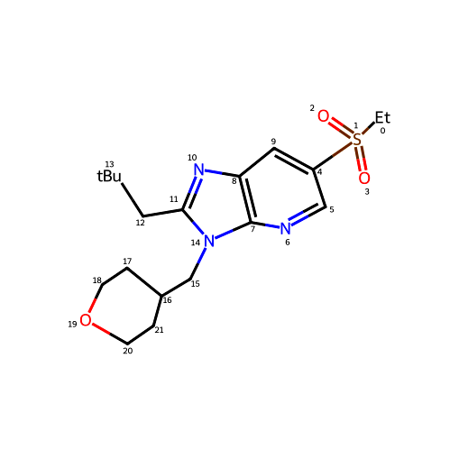 CCS(=O)(=O)c1cnc2c(c1)nc(CC(C)(C)C)n2CC1CCOCC1